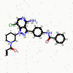 C=CC(=O)N1CCCC(n2nc(-c3ccc(NC(=O)c4ccccc4)cc3)c3c(N)ncc(Cl)c32)C1